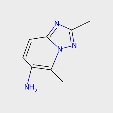 Cc1nc2ccc(N)c(C)n2n1